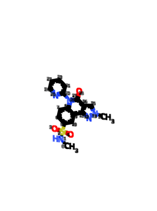 CNS(=O)(=O)c1ccc2c(c1)c1nn(C)cc1c(=O)n2-c1ccccn1